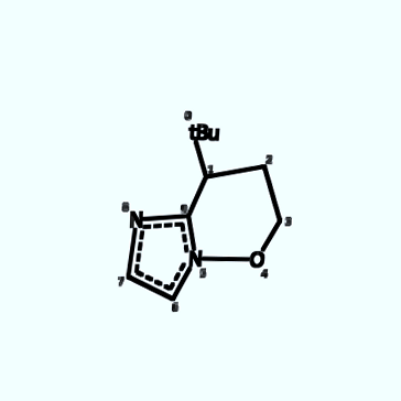 CC(C)(C)C1CCOn2ccnc21